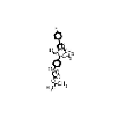 CC(C)OC(=O)CS(=O)(=O)c1ccc([C@@H](C)N(C=O)c2cc(-c3ccc(F)cc3)nn2C)cc1